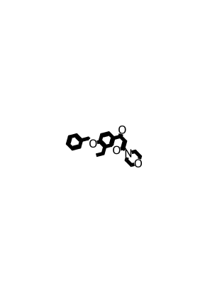 CCc1c(OCc2ccccc2)ccc2c(=O)cc(N3CCOCC3)oc12